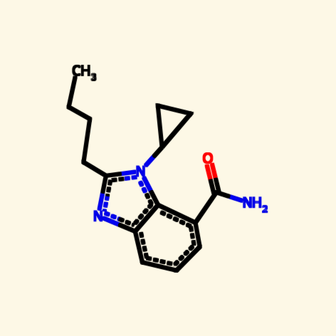 CCCCc1nc2cccc(C(N)=O)c2n1C1CC1